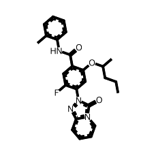 CCCC(C)Oc1cc(-n2nc3ccccn3c2=O)c(F)cc1C(=O)Nc1ccccc1C